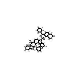 O=c1c2ccc3c(c4ccccc4n3-c3nc(-c4ccccc4)c4ccc5ccccc5c4n3)c2n(-c2ccccc2)c2nc3ccccc3n12